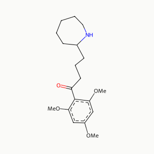 COc1cc(OC)c(C(=O)CCCC2CCCCCN2)c(OC)c1